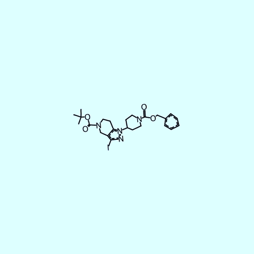 CC(C)(C)OC(=O)N1CCc2c(c(I)nn2C2CCN(C(=O)OCc3ccccc3)CC2)C1